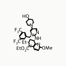 CCOC(=O)N1c2ccc(OC)nc2[C@@H](NC2N=CC(N3CCC(O)CC3)=CN2Cc2cc(C(F)(F)F)cc(C(F)(F)F)c2)C[C@H]1CC